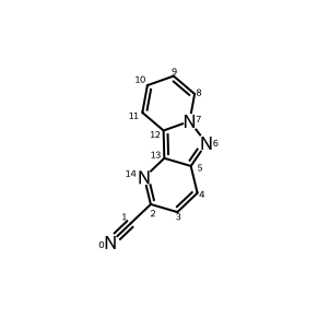 N#Cc1ccc2nn3ccccc3c2n1